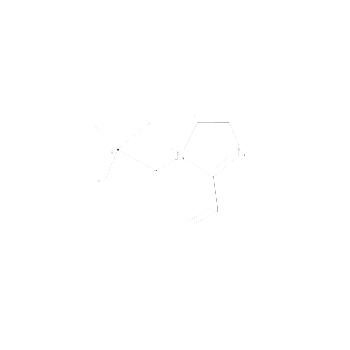 C=CC1=NCCN1CC(C)(C)C